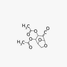 CC(=O)OC1C(=C=O)C2OCC(O2)C1OC(C)=O